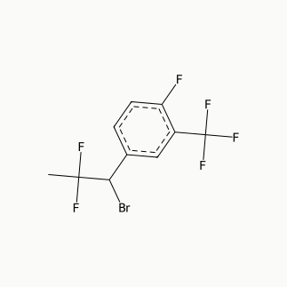 CC(F)(F)C(Br)c1ccc(F)c(C(F)(F)F)c1